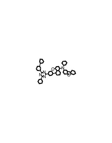 c1ccc(-c2cccc(-c3nc(-c4ccccc4)nc(-c4ccc5c(c4)Oc4ccc(N(c6ccccc6)c6ccc7oc8ccccc8c7c6)c6cccc-5c46)n3)c2)cc1